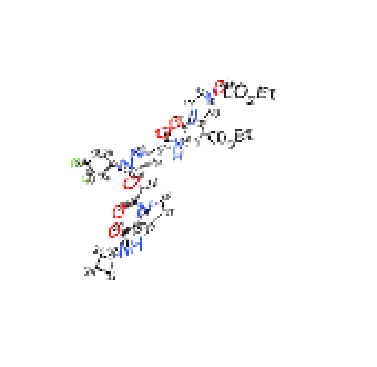 CCOC(=O)CC[C@H](NC(=O)c1cc(OCC(=O)N2CCC[C@H]2C(=O)NC2CCC2)n(-c2ccc(F)c(F)c2)n1)C(=O)N1CCN(OC(=O)OCC)CC1